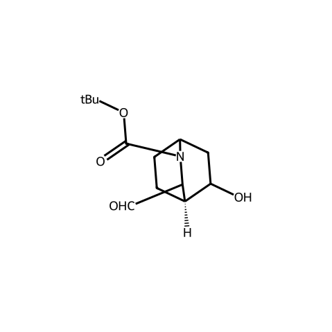 CC(C)(C)OC(=O)N1C2CC[C@H](C(O)C2)C1C=O